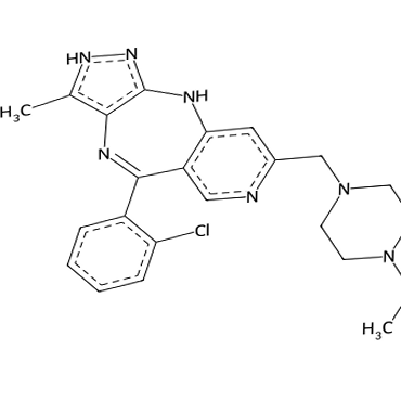 CCN1CCN(Cc2cc3c(cn2)C(c2ccccc2Cl)=Nc2c(n[nH]c2C)N3)CC1